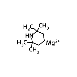 CC1(C)CCCC(C)(C)N1.[Mg+2]